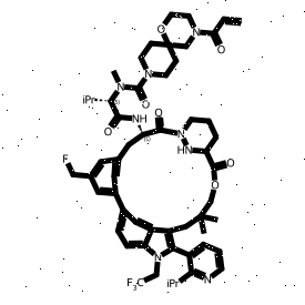 C=CC(=O)N1CCOC2(CCN(C(=O)N(C)[C@H](C(=O)N[C@H]3Cc4cc(CF)cc(c4)-c4ccc5c(c4)c(c(-c4cccnc4C(C)C)n5CC(F)(F)F)CC(C)(C)COC(=O)C4CCCN(N4)C3=O)C(C)C)CC2)C1